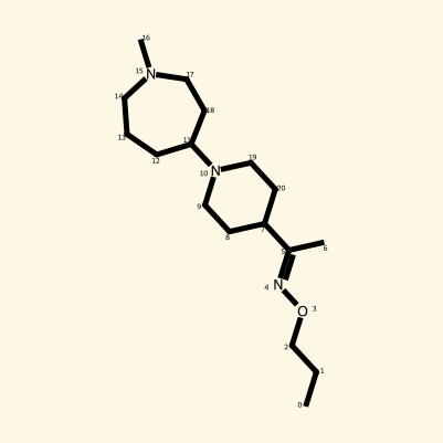 CCCO/N=C(\C)C1CCN(C2CCCN(C)CC2)CC1